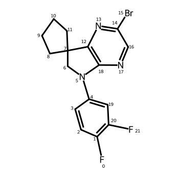 Fc1ccc(N2CC3(CCCC3)c3nc(Br)cnc32)cc1F